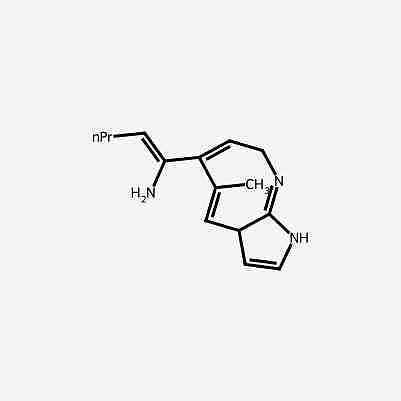 CCC/C=C(\N)C1=CC/N=C2/NC=CC2/C=C/1C